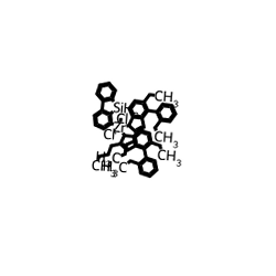 CCCCC1=Cc2c(ccc(CC)c2-c2ccccc2CC)[CH]1[Zr]([Cl])([Cl])([c]1cccc2c1[SiH2]c1ccccc1-2)[CH]1C(CCCC)=Cc2c1ccc(CC)c2-c1ccccc1CC